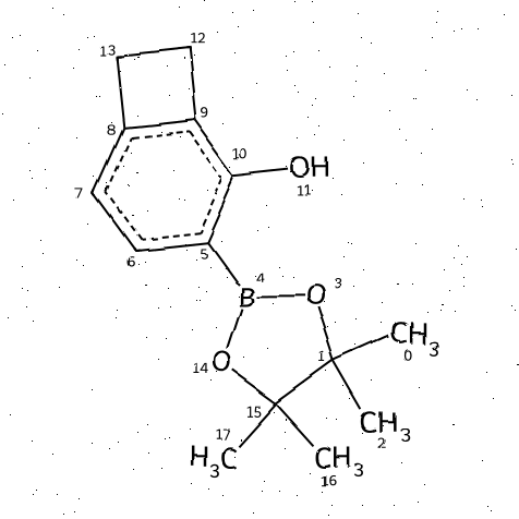 CC1(C)OB(c2ccc3c(c2O)CC3)OC1(C)C